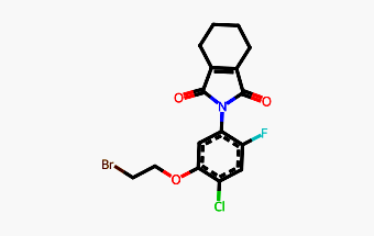 O=C1C2=C(CCCC2)C(=O)N1c1cc(OCCBr)c(Cl)cc1F